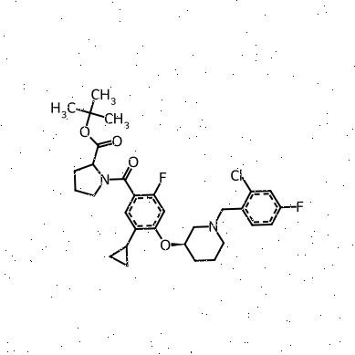 CC(C)(C)OC(=O)C1CCCN1C(=O)c1cc(C2CC2)c(O[C@@H]2CCCN(Cc3ccc(F)cc3Cl)C2)cc1F